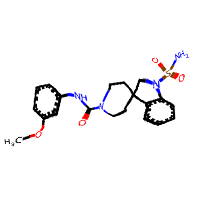 COc1cccc(NC(=O)N2CCC3(CC2)CN(S(N)(=O)=O)c2ccccc23)c1